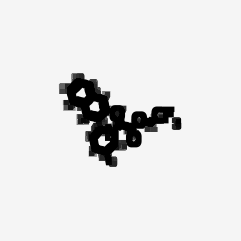 C[C@H]1CC[C@H](c2ccc3ccccc3c2)N(C(=O)C(=O)OCC(F)(F)F)C1